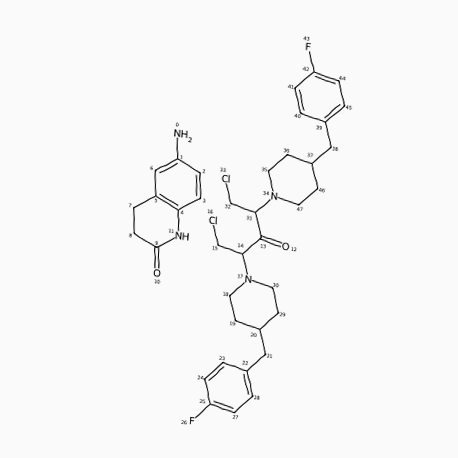 Nc1ccc2c(c1)CCC(=O)N2.O=C(C(CCl)N1CCC(Cc2ccc(F)cc2)CC1)C(CCl)N1CCC(Cc2ccc(F)cc2)CC1